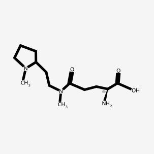 CN(CCC1CCCN1C)C(=O)CC[C@H](N)C(=O)O